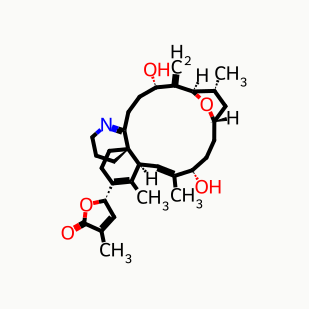 C=C1[C@@H](O)CCC2=NCCC[C@@]23CCC([C@@H]2C=C(C)C(=O)O2)=C(C)[C@@H]3/C=C(\C)[C@@H](O)CC[C@H]2C[C@@H](C)[C@H]1O2